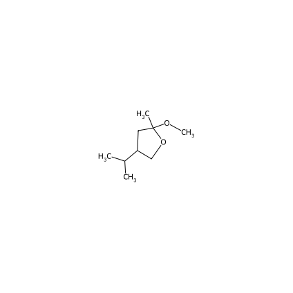 COC1(C)CC(C(C)C)CO1